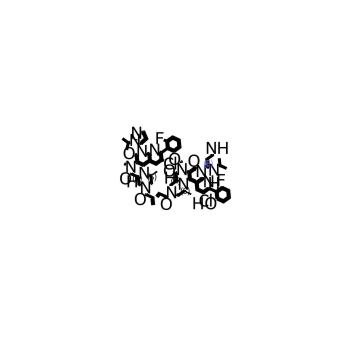 C=CC(=O)N1C[C@@H]2C(=O)N(COc3cccc(F)c3-c3nc4c(cc3Cl)c3c(c(=O)n4-c4ccnn4C(C)C)N(C)C(=O)[C@H]4CN(C(=O)C=C)C[C@H](C)N34)c3c(c4cc(Cl)c(-c5c(O)cccc5F)nc4n(/C(=C/C=N)NC(C)C)c3=O)N2[C@@H](C)C1